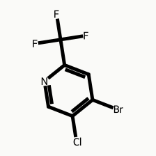 FC(F)(F)c1cc(Br)c(Cl)cn1